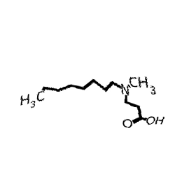 CCCCCCCCN(C)CCC(=O)O